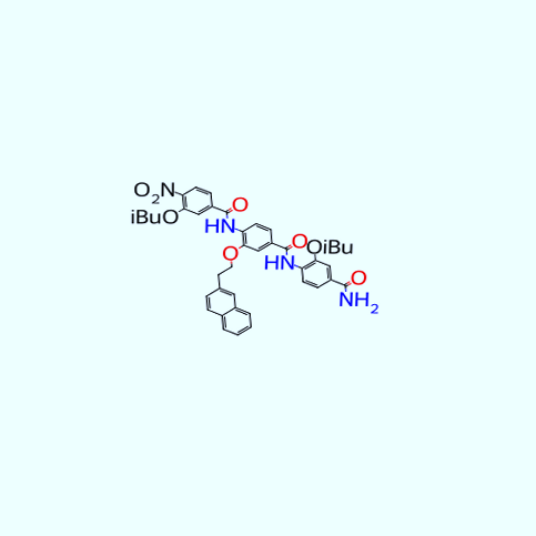 CC(C)COc1cc(C(N)=O)ccc1NC(=O)c1ccc(NC(=O)c2ccc([N+](=O)[O-])c(OCC(C)C)c2)c(OCCc2ccc3ccccc3c2)c1